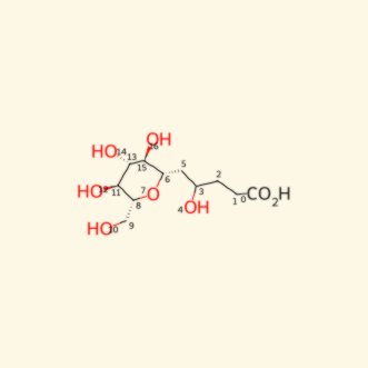 O=C(O)CCC(O)C[C@@H]1O[C@H](CO)[C@@H](O)[C@H](O)[C@H]1O